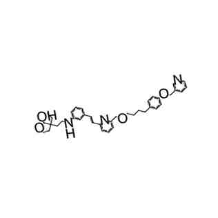 CCC(CC)(CCNc1cccc(C=Cc2cccc(COCCCCc3ccc(OCc4cccnc4)cc3)n2)c1)C(=O)O